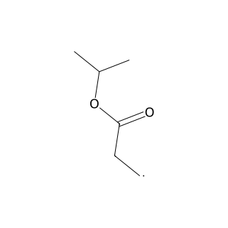 [CH2]CC(=O)OC(C)C